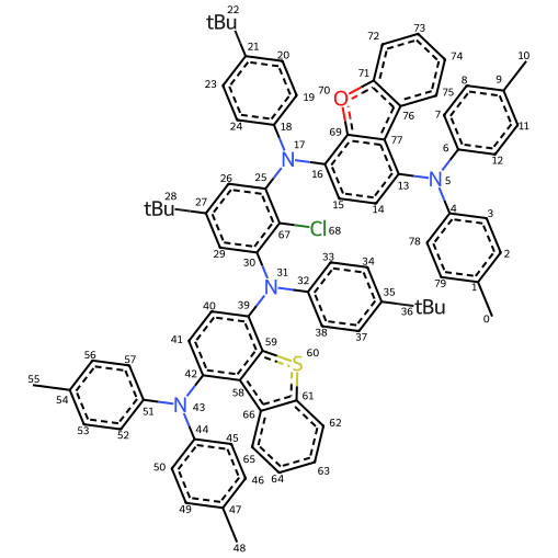 Cc1ccc(N(c2ccc(C)cc2)c2ccc(N(c3ccc(C(C)(C)C)cc3)c3cc(C(C)(C)C)cc(N(c4ccc(C(C)(C)C)cc4)c4ccc(N(c5ccc(C)cc5)c5ccc(C)cc5)c5c4sc4ccccc45)c3Cl)c3oc4ccccc4c23)cc1